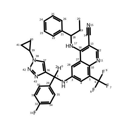 [2H]C(Nc1cc(C(F)(F)F)c2ncc(C#N)c(NC(CC)c3ccccc3)c2c1)(c1ccc(F)cc1)c1cn(C2CC2)nn1